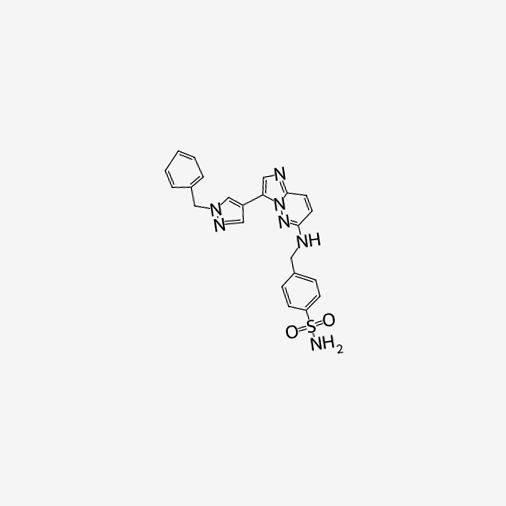 NS(=O)(=O)c1ccc(CNc2ccc3ncc(-c4cnn(Cc5ccccc5)c4)n3n2)cc1